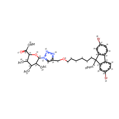 CCCCCC1(CCCCCCOCc2cn(C3OC(C(=O)OC)C(OC(C)=O)C(OC(C)=O)C3OC(C)=O)nn2)c2cc(Br)ccc2-c2ccc(Br)cc21